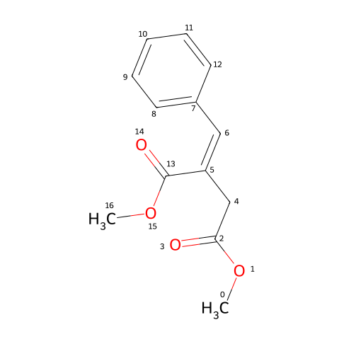 COC(=O)CC(=Cc1ccccc1)C(=O)OC